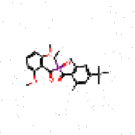 CCP(=O)(C(=O)c1c(C)cc(C(C)(C)C)cc1C)C(=O)c1c(OC)cccc1OC